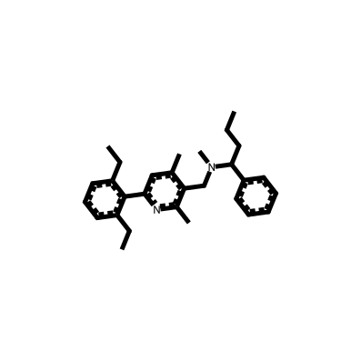 CCCC(c1ccccc1)N(C)Cc1c(C)cc(-c2c(CC)cccc2CC)nc1C